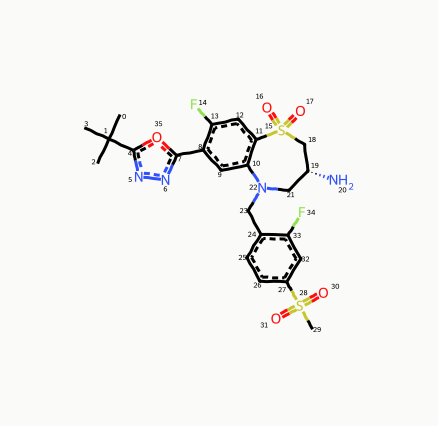 CC(C)(C)c1nnc(-c2cc3c(cc2F)S(=O)(=O)C[C@H](N)CN3Cc2ccc(S(C)(=O)=O)cc2F)o1